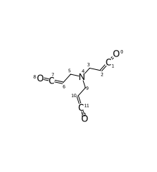 O=C=CCN(CC=C=O)CC=C=O